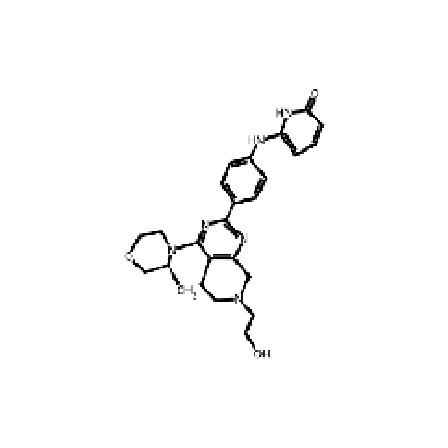 C[C@H]1COCCN1c1nc(-c2ccc(Nc3cccc(=O)[nH]3)cc2)nc2c1CCN(CCO)C2